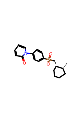 C[C@@H]1CCCC[C@@H]1CS(=O)(=O)c1ccc(-n2ccccc2=O)cc1